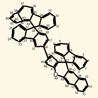 c1ccc2c(c1)-c1ccccc1C21c2cc(-c3ccc4c(c3)-c3ccccc3C43c4ccccc4-c4ccc5ccccc5c43)ccc2Oc2cc3ccccc3cc21